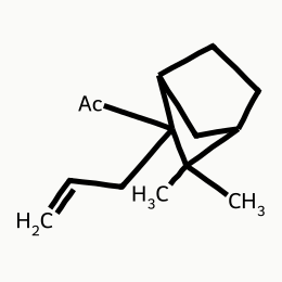 C=CCC1(C(C)=O)C2CCC(C2)C1(C)C